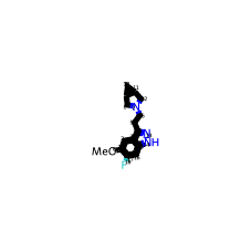 COc1cc2c(CCN3CC4CC4C3)n[nH]c2cc1F